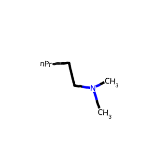 CCCCCN(C)C